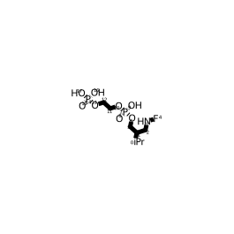 CC(C)C(CNF)COP(=O)(O)OCCOP(=O)(O)O